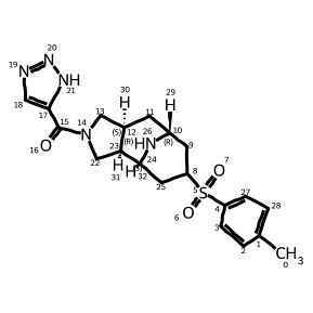 Cc1ccc(S(=O)(=O)C2C[C@H]3C[C@@H]4CN(C(=O)c5cnn[nH]5)C[C@@H]4[C@H](C2)N3)cc1